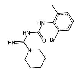 Cc1cccc(Br)c1NC(=O)NC(=N)N1CCCCC1